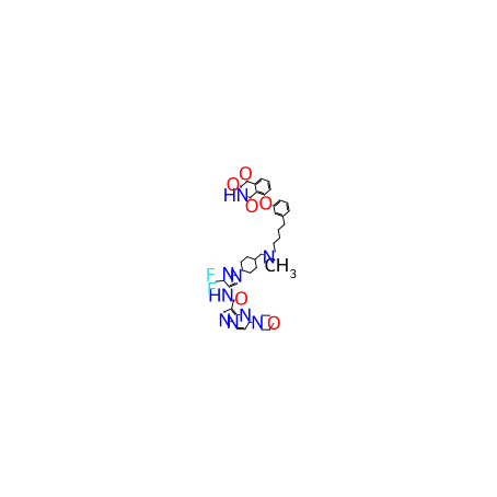 CN(CCCCCc1cccc(Oc2cccc3c2C(=O)NC(=O)C3=O)c1)CC1CCC(n2cc(NC(=O)c3cnn4ccc(N5CCOCC5)nc34)c(C(F)F)n2)CC1